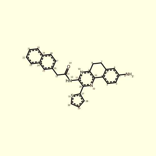 Nc1ccc2c(c1)CCc1nc(NC(=O)Cc3ccc4ccccc4c3)c(-c3cccs3)nc1-2